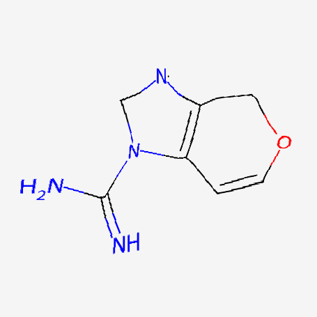 N=C(N)N1C[N]C2=C1C=COC2